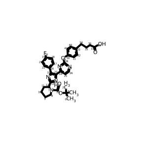 CC(C)(C)OC(=O)N1CCCCC1c1nc(-c2ccc(F)cc2)c(-c2ccnc(Oc3ccc(CCCC(=O)O)cc3)n2)[nH]1